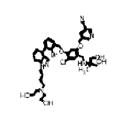 CC(CO)(CO)NCc1cc(Cl)c(OCc2cccc(-c3cccc4c3cnn4CCCCN(CCO)CCO)c2Br)cc1OCc1cncc(C#N)c1